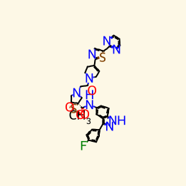 CS(=O)(=O)[C@@]1(C(=O)Nc2ccc3[nH]nc(-c4ccc(F)cc4)c3c2)CCN(CC(=O)N2CC=C(c3ncc(-c4ncccn4)s3)CC2)C1